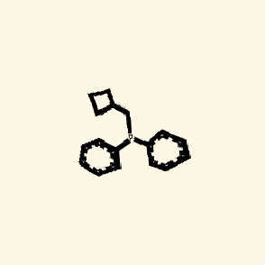 c1ccc(P(CC2CCC2)c2ccccc2)cc1